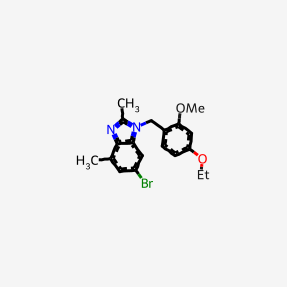 CCOc1ccc(Cn2c(C)nc3c(C)cc(Br)cc32)c(OC)c1